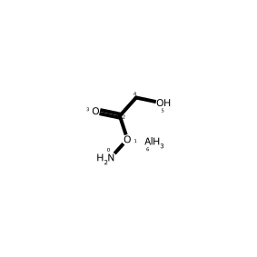 NOC(=O)CO.[AlH3]